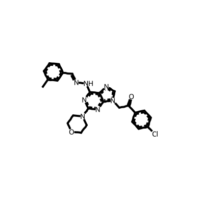 Cc1cccc(/C=N/Nc2nc(N3CCOCC3)nc3c2ncn3CC(=O)c2ccc(Cl)cc2)c1